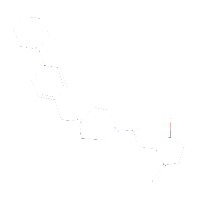 C[C@@H]1CN(Cc2ccc(N3CCOCC3)cc2F)CCN1C(=O)ON1C(=O)CCC1=O